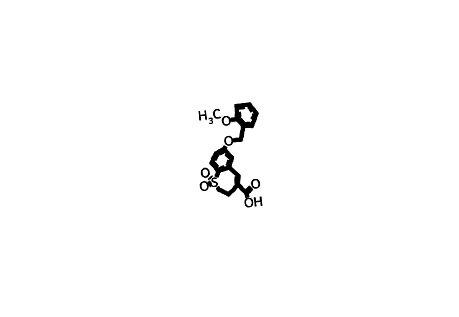 COc1ccccc1COc1ccc2c(c1)C=C(C(=O)O)CCS2(=O)=O